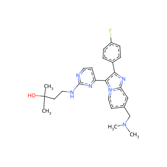 CN(C)Cc1ccn2c(-c3ccnc(NCCC(C)(C)O)n3)c(-c3ccc(F)cc3)nc2c1